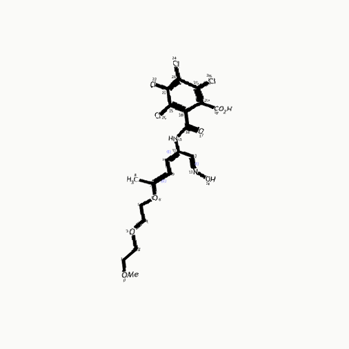 COCCOCCO/C(C)=C/C=C(\C=N\O)NC(=O)c1c(Cl)c(Cl)c(Cl)c(Cl)c1C(=O)O